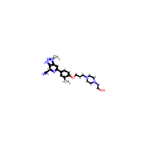 Cc1cc(-c2cc3c(nnn3C)c(C#N)n2)ccc1OCCCN1CCN(CCO)CC1